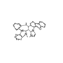 C=C1c2ccccc2N2c3ncncc3N(C)C2C2C1c1ccc3c(oc4ccccc43)c1N1C=CN(C)C21